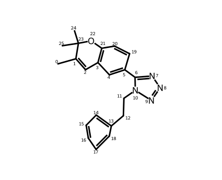 CC1=Cc2cc(-c3nnnn3CCc3ccccc3)ccc2OC1(C)C